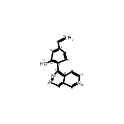 C=Cc1ccc(-c2nncc3cnccc23)c(O)c1